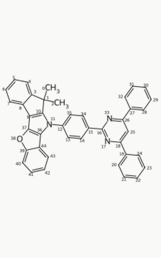 CC1(C)c2ccccc2-c2c1n(-c1ccc(-c3nc(-c4ccccc4)cc(-c4ccccc4)n3)cc1)c1c2oc2ccccc21